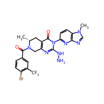 C[C@@H]1Cc2c(nc(NN)n(-c3ccc4c(ncn4C)n3)c2=O)CN1C(=O)c1ccc(Br)c(C(F)(F)F)c1